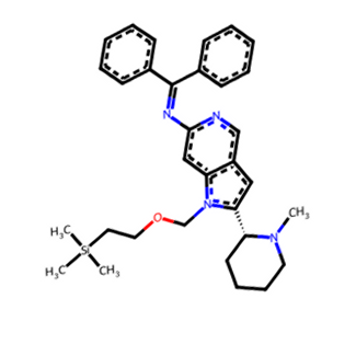 CN1CCCC[C@@H]1c1cc2cnc(N=C(c3ccccc3)c3ccccc3)cc2n1COCC[Si](C)(C)C